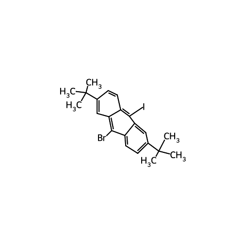 CC(C)(C)c1ccc2c(I)c3cc(C(C)(C)C)ccc3c(Br)c2c1